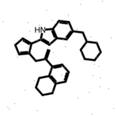 C=C(CC1=CCC=C1c1cc2cc(CC3CCCCC3)ccc2[nH]1)c1cccc2c1CCCC2